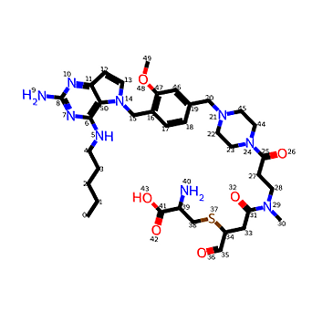 CCCCCNc1nc(N)nc2ccn(Cc3ccc(CN4CCN(C(=O)CCN(C)C(=O)CC(C=O)SCC(N)C(=O)O)CC4)cc3OC)c12